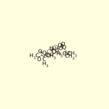 CC(=O)C1=C(C)[C@]2(CC[C@H]3C4CC=C5CC(OP(=O)(O)OCC[N+](C)(C)C)CC[C@]5(C)[C@H]4CC[C@@]32C)OC1=O